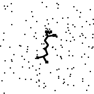 CCC(Br)COCCC(C)C(=O)O